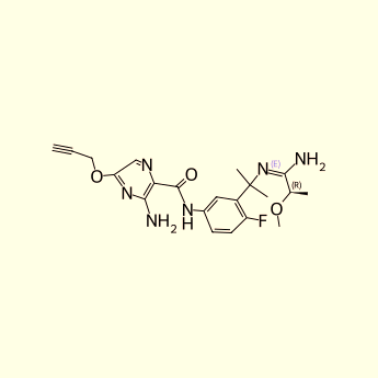 C#CCOc1cnc(C(=O)Nc2ccc(F)c(C(C)(C)/N=C(/N)[C@@H](C)OC)c2)c(N)n1